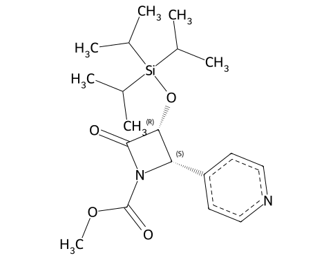 COC(=O)N1C(=O)[C@H](O[Si](C(C)C)(C(C)C)C(C)C)[C@@H]1c1ccncc1